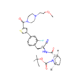 COCCN1CCN(C(=O)c2cc(-c3ccc(C[C@@H](C#N)NC(=O)[C@@H]4[C@H]5CC[C@H](C5)N4C(=O)OC(C)(C)C)c(F)c3)cs2)CC1